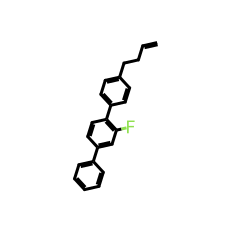 C=CCCc1ccc(-c2ccc(-c3ccccc3)cc2F)cc1